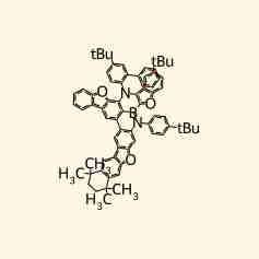 CC(C)(C)c1ccc(N2B3c4oc5ccc(C(C)(C)C)cc5c4N(c4ccc(C(C)(C)C)cc4-c4ccccc4)c4c3c(cc3c4oc4ccccc43)-c3cc4c(cc32)oc2cc3c(cc24)C(C)(C)CCC3(C)C)cc1